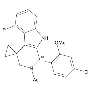 COc1cc(Cl)ccc1[C@H]1c2[nH]c3cccc(F)c3c2C2(CC2)CN1C(C)=O